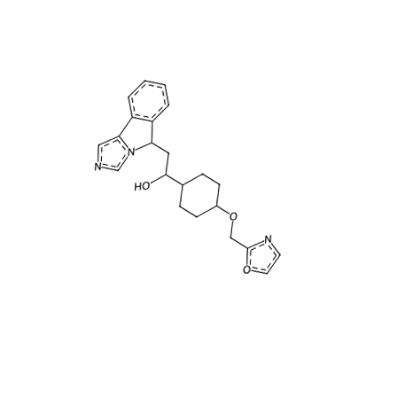 OC(CC1c2ccccc2-c2cncn21)C1CCC(OCc2ncco2)CC1